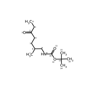 CCC(=O)CCC(C)CNC(=O)OC(C)(C)C